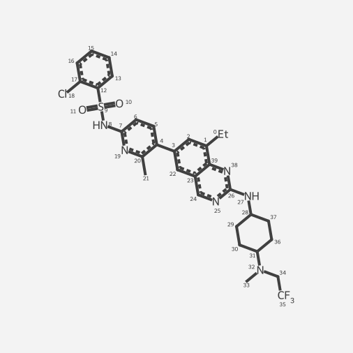 CCc1cc(-c2ccc(NS(=O)(=O)c3ccccc3Cl)nc2C)cc2cnc(NC3CCC(N(C)CC(F)(F)F)CC3)nc12